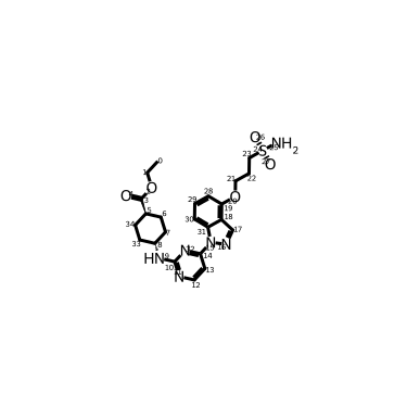 CCOC(=O)[C@H]1CC[C@H](Nc2nccc(-n3ncc4c(OCCCS(N)(=O)=O)cccc43)n2)CC1